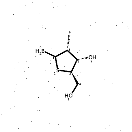 BC1S[C@H](CO)[C@@H](O)[C@H]1F